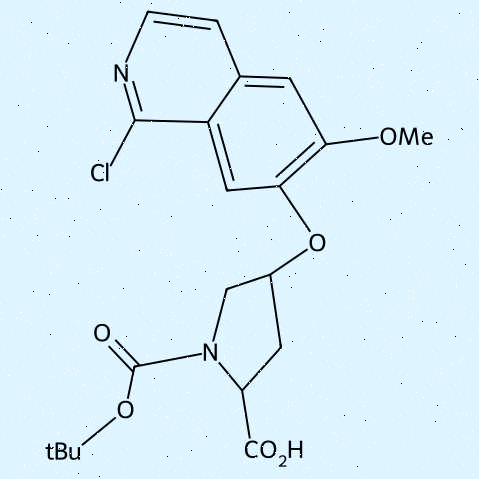 COc1cc2ccnc(Cl)c2cc1OC1CC(C(=O)O)N(C(=O)OC(C)(C)C)C1